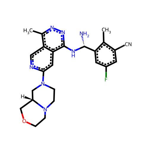 Cc1c(C#N)cc(F)cc1[C@@H](N)Nc1nnc(C)c2cnc(N3CCN4CCOC[C@@H]4C3)cc12